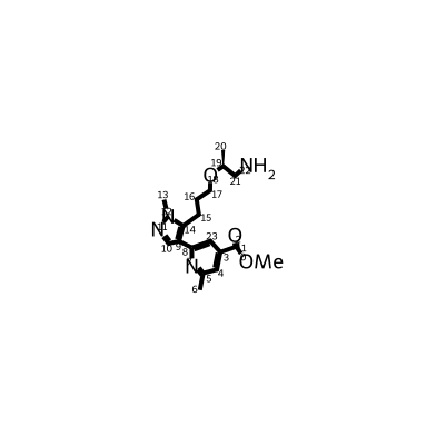 COC(=O)c1cc(C)nc(-c2cnn(C)c2CCCO[C@@H](C)CN)c1